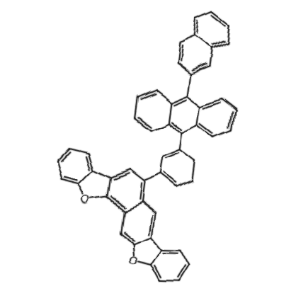 C1=C(c2c3ccccc3c(-c3ccc4ccccc4c3)c3ccccc23)CCC=C1c1cc2c3ccccc3oc2c2cc3oc4ccccc4c3cc12